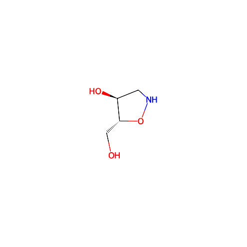 OC[C@H]1ONC[C@@H]1O